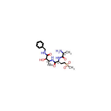 CCCC[C@H](NC(=O)[C@H](CCS(C)(=O)=O)NC(=O)[C@H](C)N)C(O)C(=O)NCc1ccccc1